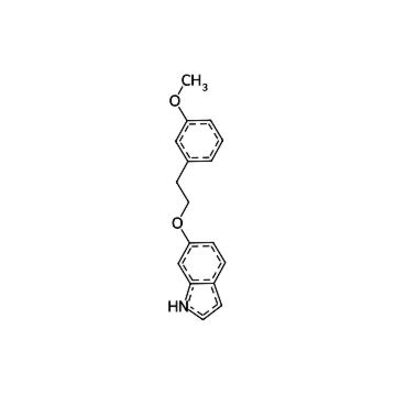 COc1cccc(CCOc2ccc3cc[nH]c3c2)c1